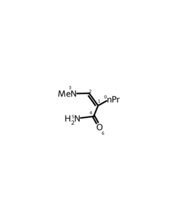 CCCC(=CNC)C(N)=O